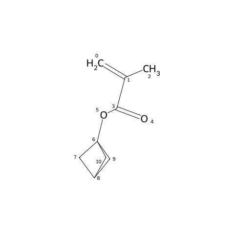 C=C(C)C(=O)OC12CC(C1)C2